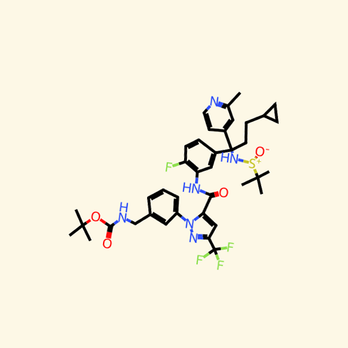 Cc1cc(C(CCC2CC2)(N[S+]([O-])C(C)(C)C)c2ccc(F)c(NC(=O)c3cc(C(F)(F)F)nn3-c3cccc(CNC(=O)OC(C)(C)C)c3)c2)ccn1